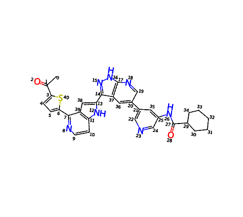 CC(=O)c1ccc(-c2nccc3[nH]c(-c4n[nH]c5ncc(-c6cncc(NC(=O)C7CCCCC7)c6)cc45)cc23)s1